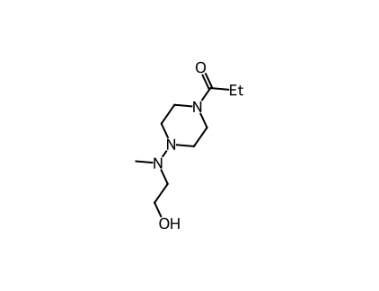 CCC(=O)N1CCN(N(C)CCO)CC1